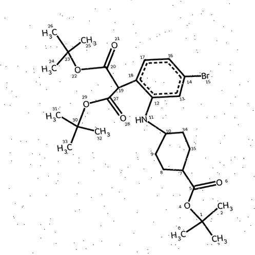 CC(C)(C)OC(=O)C1CCC(Nc2cc(Br)ccc2C(C(=O)OC(C)(C)C)C(=O)OC(C)(C)C)CC1